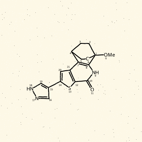 COC12CCC(CC1)c1c2[nH]c(=O)c2sc(-c3cn[nH]c3)cc12